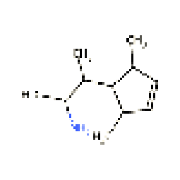 CC(N)C(C)C1C(C)C=CC1C